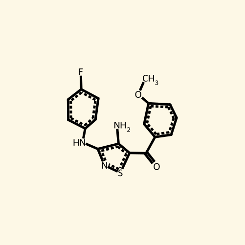 COc1cccc(C(=O)c2snc(Nc3ccc(F)cc3)c2N)c1